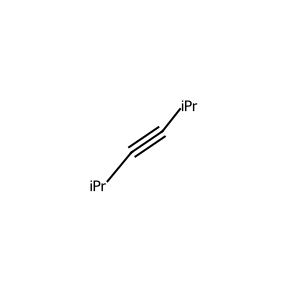 [CH2]C(C)C#CC(C)C